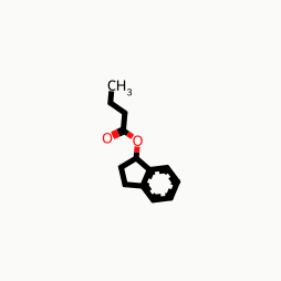 CCCC(=O)OC1CCc2ccccc21